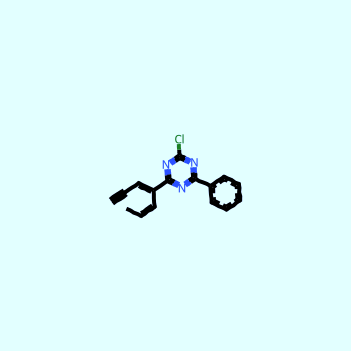 C#C/C=C(\C=C/C)c1nc(Cl)nc(-c2ccccc2)n1